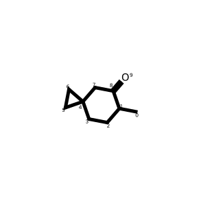 CC1CCC2(CC2)CC1=O